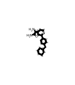 Nc1oc2c(-c3ccc(Cc4ccccc4)cc3)nccc2c1N